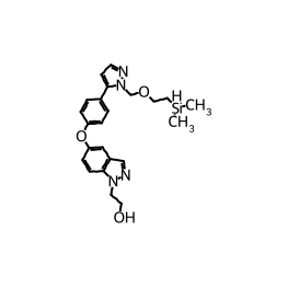 C[SiH](C)CCOCn1nccc1-c1ccc(Oc2ccc3c(cnn3CCO)c2)cc1